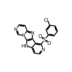 O=S(=O)(c1cccc(Cl)c1)c1nccc2[nH]c3c(nc4ccncn43)c12